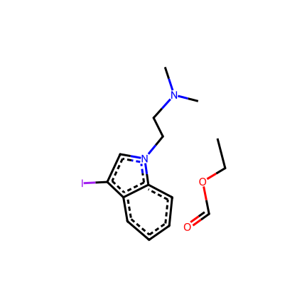 CCOC=O.CN(C)CCn1cc(I)c2ccccc21